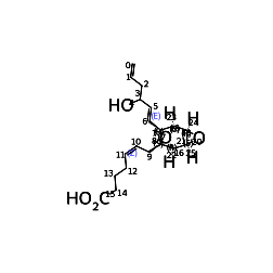 C=CCC(O)/C=C/[C@@H]1[C@H](C/C=C\CCCC(=O)O)[C@H]2O[C@@H]1[C@H]1O[C@H]12